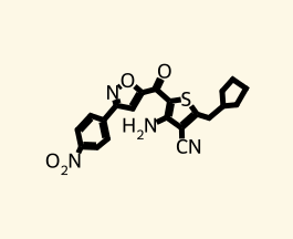 N#Cc1c(CC2CCCC2)sc(C(=O)c2cc(-c3ccc([N+](=O)[O-])cc3)no2)c1N